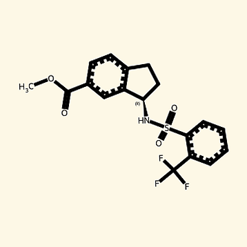 COC(=O)c1ccc2c(c1)[C@H](NS(=O)(=O)c1ccccc1C(F)(F)F)CC2